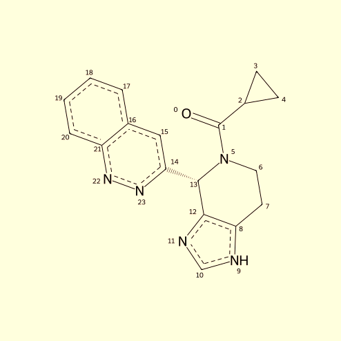 O=C(C1CC1)N1CCc2[nH]cnc2[C@@H]1c1cc2ccccc2nn1